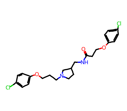 O=C(CCOc1ccc(Cl)cc1)NCC1CCN(CCCOc2ccc(Cl)cc2)C1